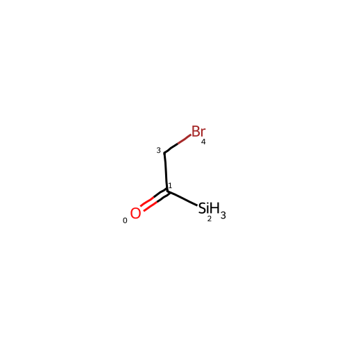 O=C([SiH3])CBr